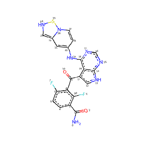 NC(=O)c1ccc(F)c(C(=O)c2c[nH]c3ncnc(NC4=CC5=CNSN5C=C4)c23)c1F